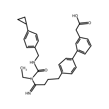 CCN(C(=N)CCCc1ccc(-c2cccc(CC(=O)O)c2)cc1)C(=O)NCc1ccc(C2CC2)cc1